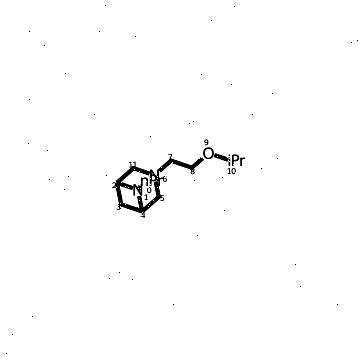 CCCN1C2CC1CN(CCOC(C)C)C2